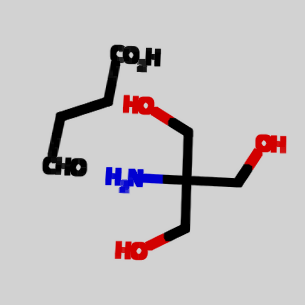 NC(CO)(CO)CO.O=CCCC(=O)O